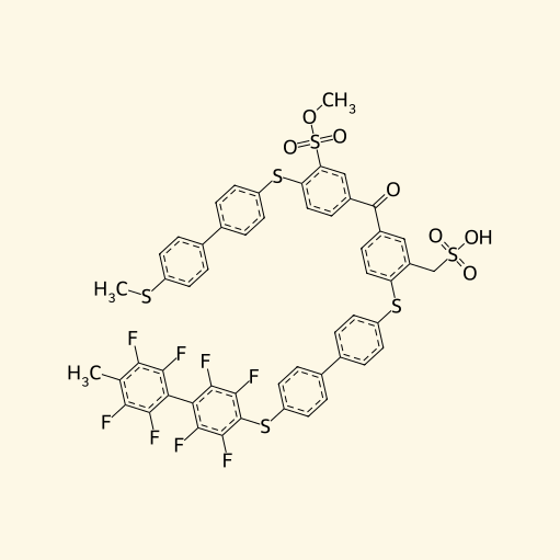 COS(=O)(=O)c1cc(C(=O)c2ccc(Sc3ccc(-c4ccc(Sc5c(F)c(F)c(-c6c(F)c(F)c(C)c(F)c6F)c(F)c5F)cc4)cc3)c(CS(=O)(=O)O)c2)ccc1Sc1ccc(-c2ccc(SC)cc2)cc1